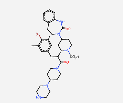 Cc1cc(CC(C(=O)N2CCC(N3CCNCC3)CC2)[C@H]2CC(N3CCc4ccccc4NC3=O)CCN2C(=O)O)cc(C)c1Br